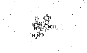 CN(C)c1cc2c(cc1Sc1nc3c(N)ncnc3n1CCC(N)=O)OCO2